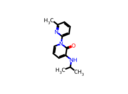 Cc1cccc(-n2cccc(NC(C)C)c2=O)n1